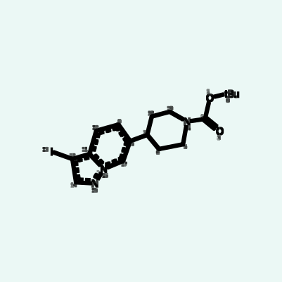 CC(C)(C)OC(=O)N1CCC(c2ccc3c(I)cnn3c2)CC1